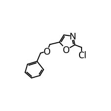 ClCc1ncc(COCc2ccccc2)o1